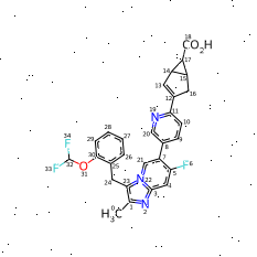 Cc1nc2cc(F)c(-c3ccc(C4=CC5C(C4)C5C(=O)O)nc3)cn2c1Cc1ccccc1OC(F)F